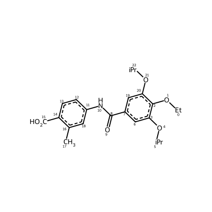 CCOc1c(OC(C)C)cc(C(=O)Nc2ccc(C(=O)O)c(C)c2)cc1OC(C)C